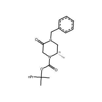 CCCC(C)(C)OC(=O)N1CC(=O)N(Cc2ccccc2)C[C@@H]1C